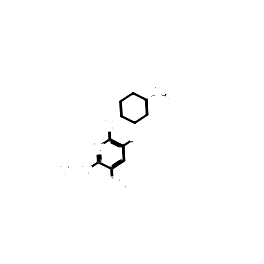 CNc1nc(N[C@H]2CC[C@H](NC(=O)O)CC2)c(F)cc1C#N